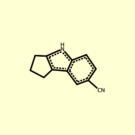 N#Cc1ccc2[nH]c3c(c2c1)CCC3